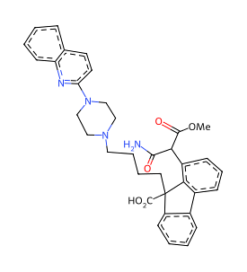 COC(=O)C(C(N)=O)c1cccc2c1C(CCCCN1CCN(c3ccc4ccccc4n3)CC1)(C(=O)O)c1ccccc1-2